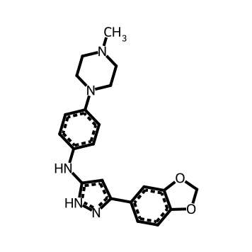 CN1CCN(c2ccc(Nc3cc(-c4ccc5c(c4)OCO5)n[nH]3)cc2)CC1